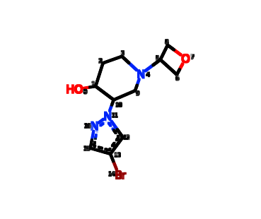 OC1CCN(C2COC2)CC1n1cc(Br)cn1